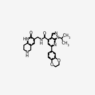 CC(C)n1ncc2c(C(=O)NCc3cc4c([nH]c3=O)CCNC4)cc(-c3ccc4c(c3)OCCO4)nc21